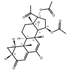 CC(=O)O[C@@H]1C[C@](OC(C)=O)(C(C)=O)[C@@]2(C)CC[C@H]3[C@@H](C=C(Cl)C4=CC(=O)[C@@H]5C[C@@H]5[C@@]43C)[C@H]12